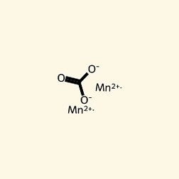 O=C([O-])[O-].[Mn+2].[Mn+2]